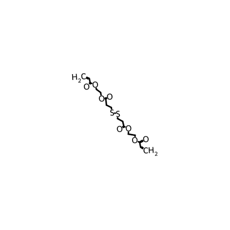 C=CC(=O)OCCOC(=O)CCSSCCC(=O)OCCOC(=O)C=C